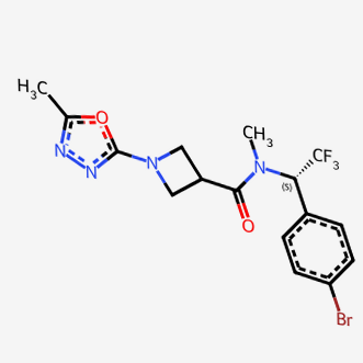 Cc1nnc(N2CC(C(=O)N(C)[C@@H](c3ccc(Br)cc3)C(F)(F)F)C2)o1